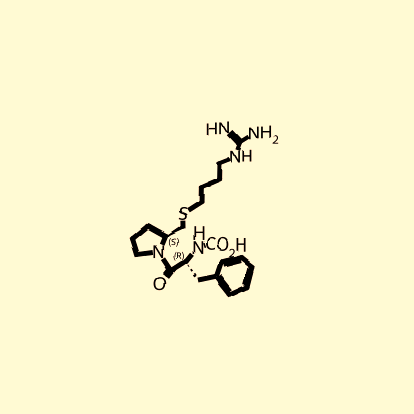 N=C(N)NCCCCSC[C@@H]1CCCN1C(=O)[C@@H](Cc1ccccc1)NC(=O)O